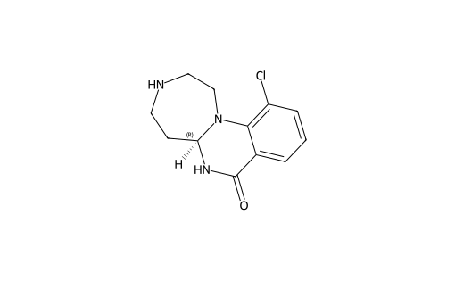 O=C1N[C@H]2CCNCCN2c2c(Cl)cccc21